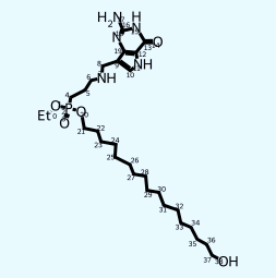 CCOP(=O)(CCCNCc1c[nH]c2c(=O)[nH]c(N)nc12)OCCCCCCCCCCCCCCCCCO